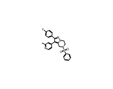 Cc1cc(-c2c(-c3ccc(F)cc3)nn3c2CN(S(=O)(=O)c2ccccc2)CC3)ccn1